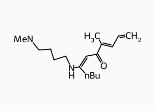 C=C/C=C(\C)C(=O)/C=C(\CCCC)NCCCCNC